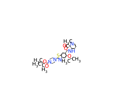 CC(C)Oc1cc2nc(N3CCN(C(=O)OC(C)(C)C)CC3)sc2cc1C(=O)NC1=CC=CN(C)C1=C=O